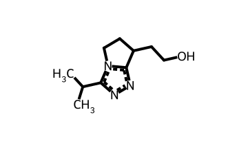 CC(C)c1nnc2n1CCC2CCO